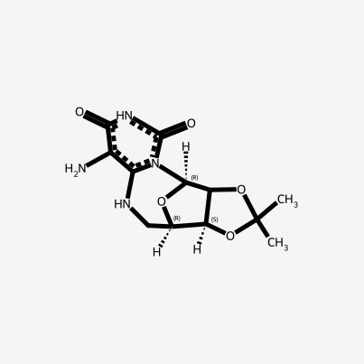 CC1(C)OC2[C@@H](O1)[C@H]1CNc3c(N)c(=O)[nH]c(=O)n3[C@@H]2O1